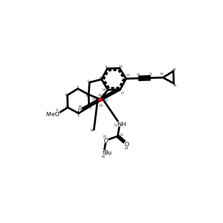 COC1CCC2(CC1)Cc1ccc(C#CC3CC3)cc1C21N=C(NC(=O)OC(C)(C)C)N(C)C1=O